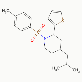 Cc1ccc(S(=O)(=O)N2CCC(CC(C)C)CC2c2cccs2)cc1